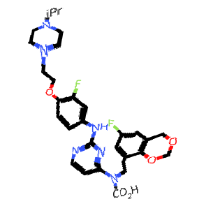 CC(C)N1CCN(CCOc2ccc(Nc3nccc(N(Cc4cc(F)cc5c4OCOC5)C(=O)O)n3)cc2F)CC1